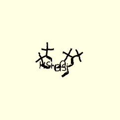 C=C[SiH](C=C(C(C)(C)C)C(C)(C)C)OO[SiH](C=C)C=C(C(C)(C)C)C(C)(C)C